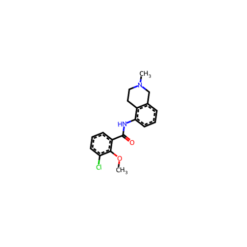 COc1c(Cl)cccc1C(=O)Nc1cccc2c1CCN(C)C2